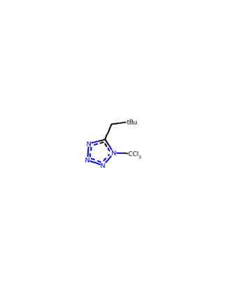 CC(C)(C)Cc1nnnn1C(Cl)(Cl)Cl